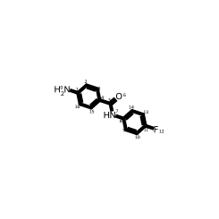 Nc1ccc(C(=O)Nc2ccc(F)cc2)cc1